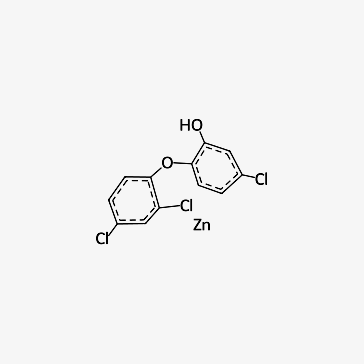 Oc1cc(Cl)ccc1Oc1ccc(Cl)cc1Cl.[Zn]